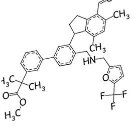 COC(=O)C(C)(C)c1cccc(-c2ccc(CNCc3ccc(C(F)(F)F)o3)c(C3CCc4c(C=O)c(C)cc(C)c43)c2)c1